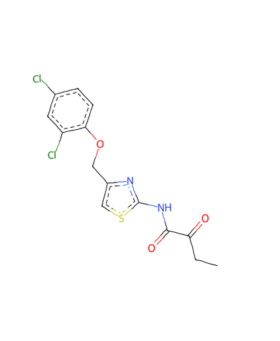 CCC(=O)C(=O)Nc1nc(COc2ccc(Cl)cc2Cl)cs1